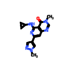 Cn1cc(-c2cc3ncn(C)c(=O)c3c(NC3CC3)n2)cn1